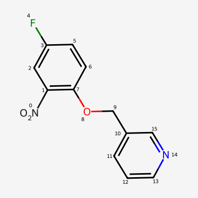 O=[N+]([O-])c1cc(F)ccc1OCc1cccnc1